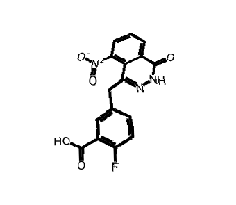 O=C(O)c1cc(Cc2n[nH]c(=O)c3cccc([N+](=O)[O-])c23)ccc1F